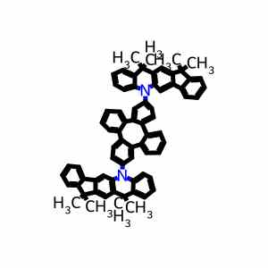 CC1(C)c2ccccc2-c2cc3c(cc21)C(C)(C)c1ccccc1N3c1ccc2c(c1)-c1ccccc1-c1ccc(N3c4ccccc4C(C)(C)c4cc5c(cc43)-c3ccccc3C5(C)C)cc1-c1ccccc1-2